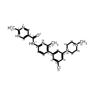 Cc1ncc(C(=O)Nc2ccc(-c3cc(Cl)cc(N4CCN(C)CC4)c3)c(C)n2)cn1